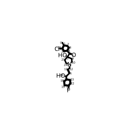 Cc1ccc(C(=O)C2(O)CCN(CC=CC(O)c3ccc(F)cc3)CC2)cc1Cl